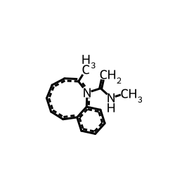 C=C(NC)n1c(C)cccccc2ccccc21